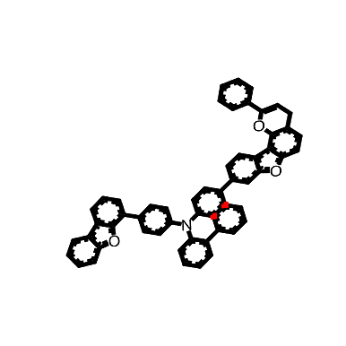 C1=C(c2ccccc2)Oc2c(ccc3oc4cc(-c5ccc(N(c6ccc(-c7cccc8c7oc7ccccc78)cc6)c6ccccc6-c6ccccc6)cc5)ccc4c23)C1